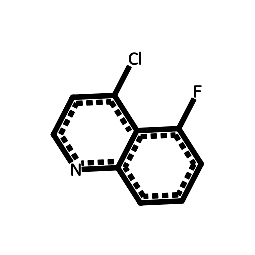 Fc1cccc2nccc(Cl)c12